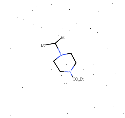 CCOC(=O)N1CCN(C(CC)CC)CC1